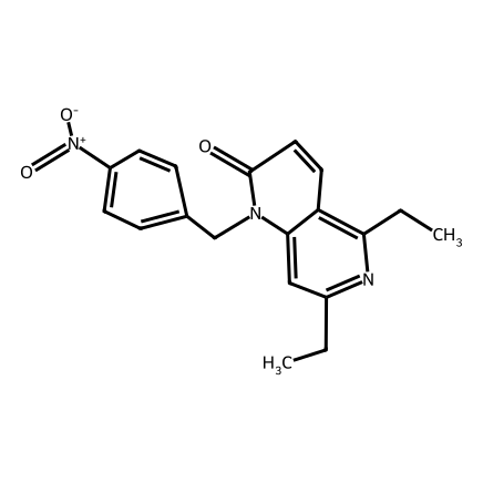 CCc1cc2c(ccc(=O)n2Cc2ccc([N+](=O)[O-])cc2)c(CC)n1